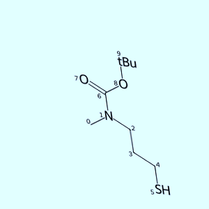 CN(CCCS)C(=O)OC(C)(C)C